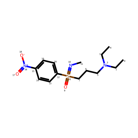 CCN(CC)CCCS(=O)(=NC)c1ccc([N+](=O)[O-])cc1